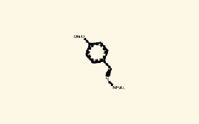 COc1ccc(C=NNC(C)=O)cc1